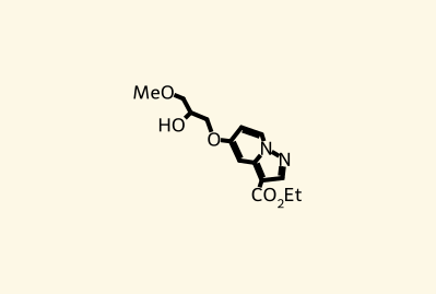 CCOC(=O)c1cnn2ccc(OCC(O)COC)cc12